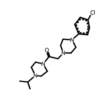 CC(C)N1CCN(C(=O)CN2CCN(c3ccc(Cl)cc3)CC2)CC1